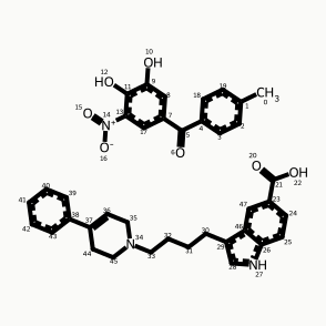 Cc1ccc(C(=O)c2cc(O)c(O)c([N+](=O)[O-])c2)cc1.O=C(O)c1ccc2[nH]cc(CCCCN3CC=C(c4ccccc4)CC3)c2c1